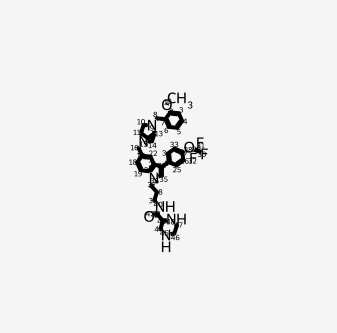 COc1ccccc1CN1CC2CC1CN2Cc1ccc2c(c1)c(-c1ccc(OC(F)(F)F)cc1)cn2CCCNC(=O)C1CNCCN1